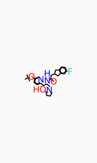 CC(C)(C)Oc1ccc(C(O)C(CN2CCCC2)NC(=O)CC2Cc3ccc(F)cc3C2)nc1